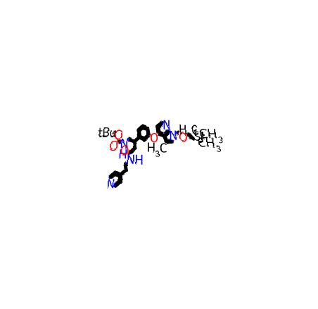 Cc1cn(COCC[Si](C)(C)C)c2nccc(Oc3cccc(C(CNC(=O)OC(C)(C)C)CC(=O)NCCc4ccncc4)c3)c12